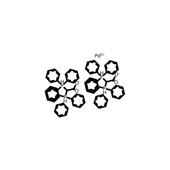 O=C([O-])C([PH](c1ccccc1)(c1ccccc1)c1ccccc1)[PH](c1ccccc1)(c1ccccc1)c1ccccc1.O=C([O-])C([PH](c1ccccc1)(c1ccccc1)c1ccccc1)[PH](c1ccccc1)(c1ccccc1)c1ccccc1.[Pd+2]